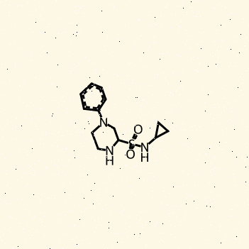 O=S(=O)(NC1CC1)C1CN(c2ccccc2)CCN1